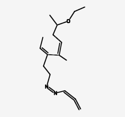 C=C=C/N=N\CCC(=C/C)/C(C)=C\CC(C)OCC